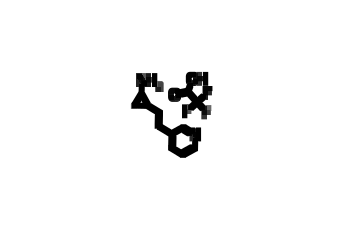 NC1CC1C=Cc1cccnc1.O=C(O)C(F)(F)F